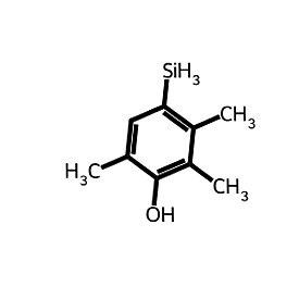 Cc1cc([SiH3])c(C)c(C)c1O